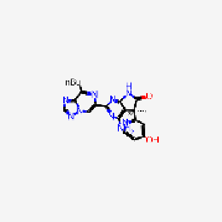 CCCCc1nc(-c2nc(N)c3c(n2)NC(=O)[C@@]3(C)c2cc(O)ccn2)cn2ncnc12